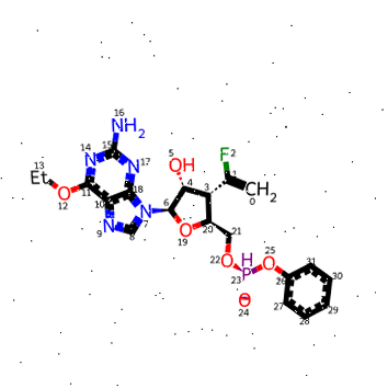 C=C(F)[C@H]1[C@@H](O)[C@H](n2cnc3c(OCC)nc(N)nc32)O[C@@H]1CO[P@H](=O)Oc1ccccc1